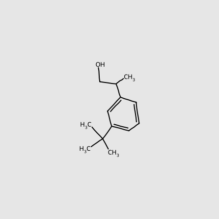 CC(CO)c1cccc(C(C)(C)C)c1